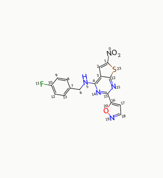 O=[N+]([O-])c1cc2c(NCc3ccc(F)cc3)nc(-c3ccno3)nc2s1